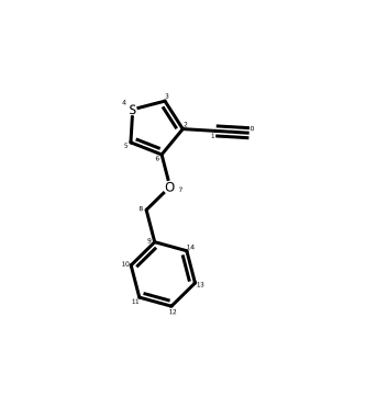 C#Cc1cscc1OCc1ccccc1